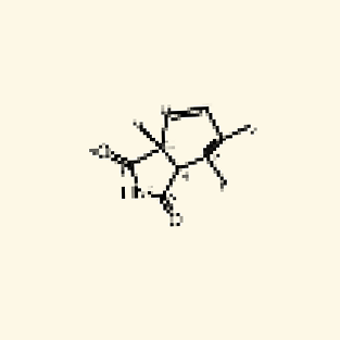 CC1=C(C)C2C(=O)NC(=O)C2(C)C=C1